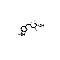 CNc1ccc(C[C@H](C)C[C@H](C)C(=O)O)cc1